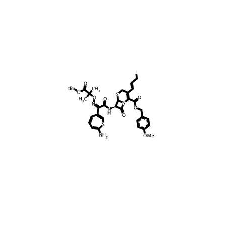 COc1ccc(COC(=O)C2=C(/C=C/CI)CSC3[C@H](NC(=O)/C(=N\OC(C)(C)C(=O)OC(C)(C)C)C4=CSC(N)=CC=C4)C(=O)N23)cc1